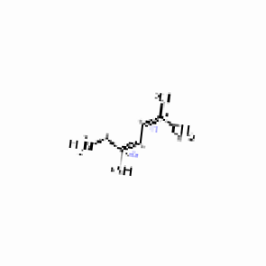 C/C(Cl)=C\C=C(\S)CN